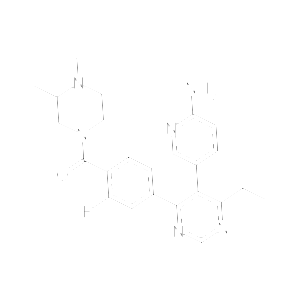 CCc1ncnc(-c2ccc(C(=O)N3CCN(C)C(C)C3)c(F)c2)c1-c1ccc(N)nc1